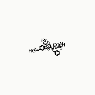 CC(C)CN(C[C@@H](O)[C@H](Cc1ccccc1)N(Cc1cncs1)C(=O)O)S(=O)(=O)c1ccc(C=NO)cc1